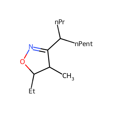 CCCCCC(CCC)C1=NOC(CC)C1C